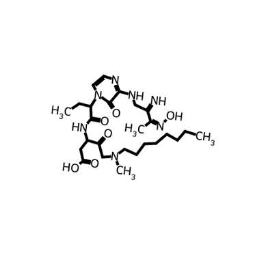 CCCCCCCCN(C)CC(=O)C(CC(=O)O)NC(=O)C(CC)n1ccnc(NCC(=N)/C(C)=N\O)c1=O